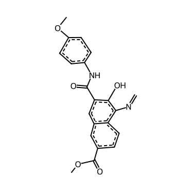 C=Nc1c(O)c(C(=O)Nc2ccc(OC)cc2)cc2cc(C(=O)OC)ccc12